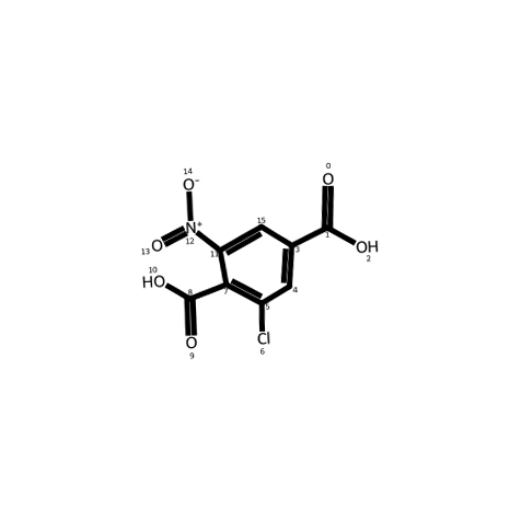 O=C(O)c1cc(Cl)c(C(=O)O)c([N+](=O)[O-])c1